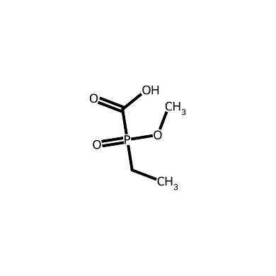 CCP(=O)(OC)C(=O)O